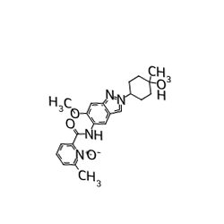 COc1cc2nn(C3CCC(C)(O)CC3)cc2cc1NC(=O)c1cccc(C)[n+]1[O-]